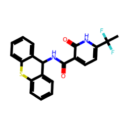 CC(F)(F)c1ccc(C(=O)NC2c3ccccc3Sc3ccccc32)c(=O)[nH]1